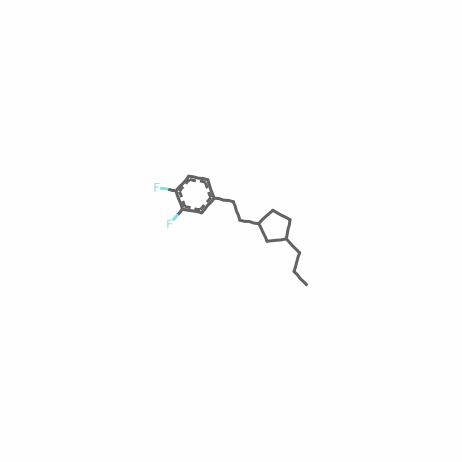 CCCC1CCC(CCc2ccc(F)c(F)c2)C1